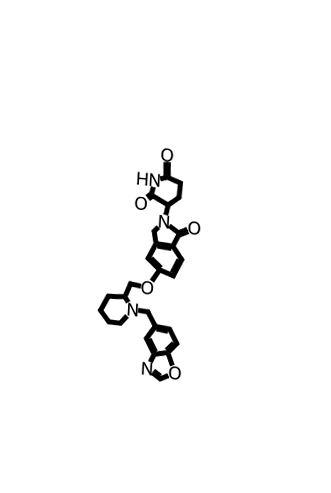 O=C1CCC(N2Cc3cc(OCC4CCCCN4Cc4ccc5ocnc5c4)ccc3C2=O)C(=O)N1